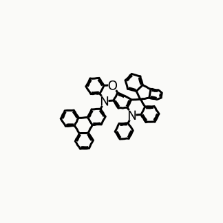 c1ccc(N2c3ccccc3C3(c4ccccc4-c4ccccc43)c3cc4c(cc32)N(c2ccc3c5ccccc5c5ccccc5c3c2)c2ccccc2O4)cc1